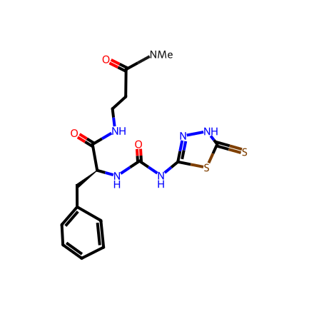 CNC(=O)CCNC(=O)[C@H](Cc1ccccc1)NC(=O)Nc1n[nH]c(=S)s1